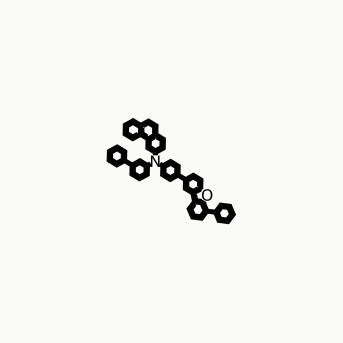 c1ccc(-c2cccc(N(c3ccc(-c4ccc5oc6c(-c7ccccc7)cccc6c5c4)cc3)c3ccc4ccc5ccccc5c4c3)c2)cc1